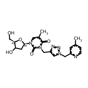 Cc1ccnc(Cn2cc(Cn3c(=O)c(C)cn([C@H]4CC(O)[C@@H](CO)O4)c3=O)nn2)c1